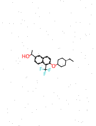 CC[C@H]1CC[C@@H](Oc2ccc3cc(C(C)O)ccc3c2C(F)(F)F)CC1